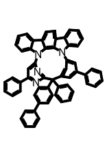 c1ccc(-c2ccc(C3(c4ccccc4)c4cc(-c5ccccc5)cc(c4)-n4c5ccccc5c5ccc6c7ccccc7n(c6c54)-c4cc(-c5ccccc5)nc3n4)cc2)cc1